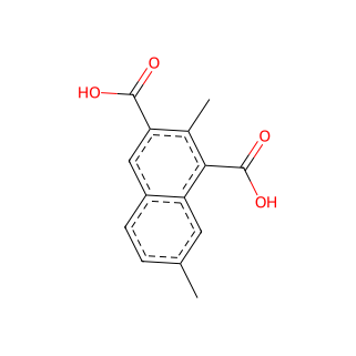 Cc1ccc2cc(C(=O)O)c(C)c(C(=O)O)c2c1